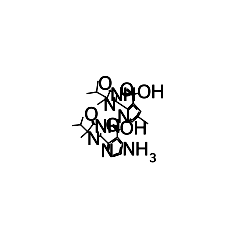 CC(C)C1(C)N=C(c2ncccc2C(=O)O)NC1=O.Cc1cnc(C2=NC(C)(C(C)C)C(=O)N2)c(C(=O)O)c1.N